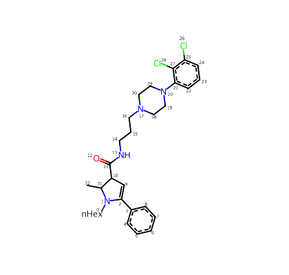 CCCCCCN1C(c2ccccc2)=CC(C(=O)NCCCN2CCN(c3cccc(Cl)c3Cl)CC2)C1C